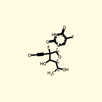 C[C@H](O)[C@H]1O[C@@H](n2cc(F)c(=O)[nH]c2=O)C(F)(C#CCl)C1O